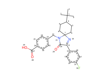 CC(C)(C)C1CCC2(CC1)N=C(c1ccc(F)cc1)C(=O)N2Cc1ccc(C(=O)O)cc1